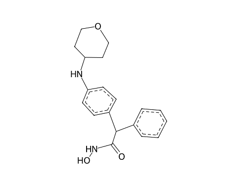 O=C(NO)C(c1ccccc1)c1ccc(NC2CCOCC2)cc1